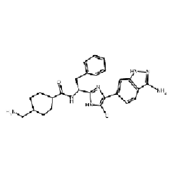 NCC1CCC(C(=O)N[C@@H](Cc2ccccc2)c2nc(-c3ccc4c(N)n[nH]c4c3)c(Cl)[nH]2)CC1